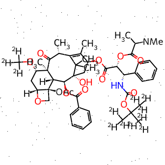 [2H]C([2H])([2H])O[C@H]1C[C@H]2OC[C@@]2(OC(C)=O)[C@H]2[C@H](OC(=O)c3ccccc3)[C@]3(O)C[C@H](OC(=O)[C@H](OC(=O)C(C)NC)[C@@H](NC(=O)OC(C([2H])([2H])[2H])(C([2H])([2H])[2H])C([2H])([2H])[2H])c4ccccc4)C(C)=C([C@@H](C)C(=O)[C@]12C)C3(C)C